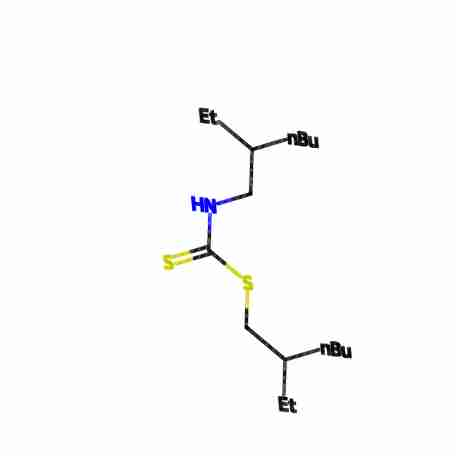 CCCCC(CC)CNC(=S)SCC(CC)CCCC